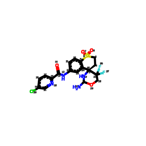 NC1N[C@@]2(CCS(=O)(=O)c3ccc(NC(=O)c4ccc(Cl)cn4)cc32)C(F)(F)CO1